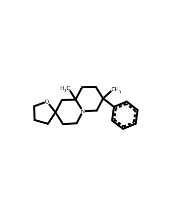 CC1(c2ccccc2)CCC2(C)CC3(CCCO3)CCN2C1